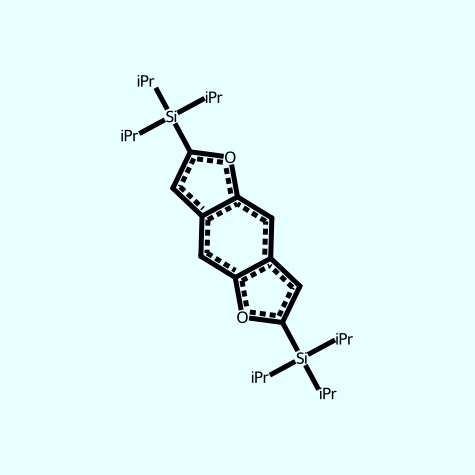 CC(C)[Si](c1cc2cc3oc([Si](C(C)C)(C(C)C)C(C)C)cc3cc2o1)(C(C)C)C(C)C